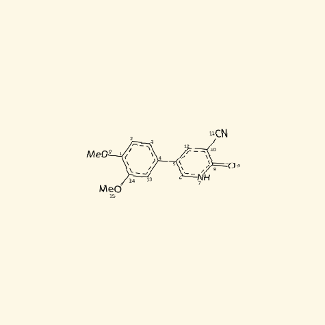 COc1ccc(-c2c[nH]c(=O)c(C#N)c2)cc1OC